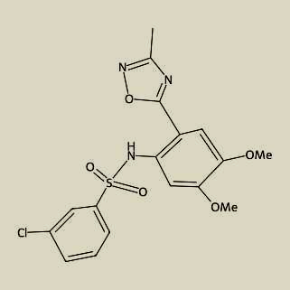 COc1cc(NS(=O)(=O)c2cccc(Cl)c2)c(-c2nc(C)no2)cc1OC